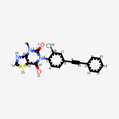 Cn1c(=O)n(-c2ccc(C#Cc3ccccc3)cc2Cl)c(=O)c2scnc21